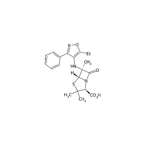 CCc1onc(-c2ccccc2)c1N[C@@]1(C)C(=O)N2[C@@H](C(=O)O)C(C)(C)S[C@@H]21